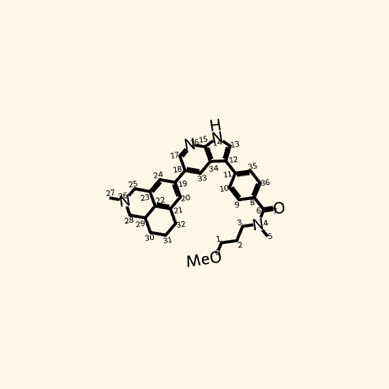 COCCCN(C)C(=O)c1ccc(-c2c[nH]c3ncc(-c4cc5c6c(c4)CN(C)CC6CCC5)cc23)cc1